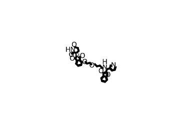 O=C1CCC(N2C(=O)c3cccc(OCCOCCCC(=O)NC(c4cccnc4)c4cc5ccccc5o4)c3C2=O)C(=O)N1